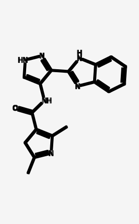 CC1=NC(C)=C(C(=O)Nc2c[nH]nc2-c2nc3ccccc3[nH]2)C1